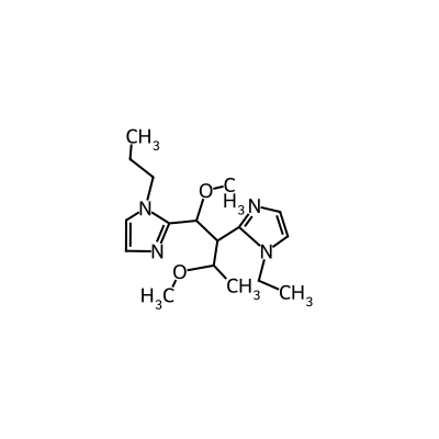 CCCn1ccnc1C(OC)C(c1nccn1CC)C(C)OC